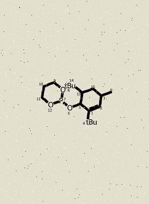 CC1C=C(C(C)(C)C)C(OP2OCCCO2)C(C(C)(C)C)C1